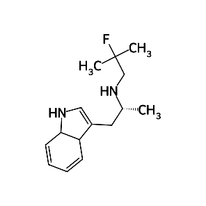 C[C@H](CC1=CNC2C=CC=CC12)NCC(C)(C)F